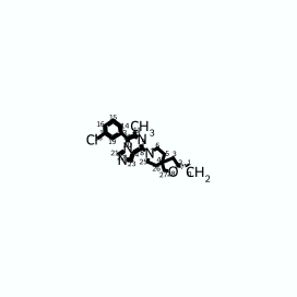 C=C[C@H]1CC2(CCN(c3nc(C)c(-c4cccc(Cl)c4)n4cncc34)CC2)CO1